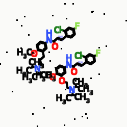 COc1ccc(NC(=O)/C=C/c2ccc(F)cc2Cl)cc1CCCN(C(C)C)C(C)C.COc1ccc(NC(=O)/C=C/c2ccc(F)cc2Cl)cc1OCCN(C(C)C)C(C)C